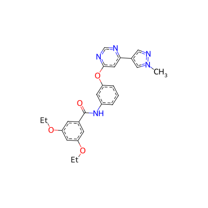 CCOc1cc(OCC)cc(C(=O)Nc2cccc(Oc3cc(-c4cnn(C)c4)ncn3)c2)c1